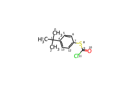 CC(C)(C)c1ccc(SC(=O)Cl)cc1